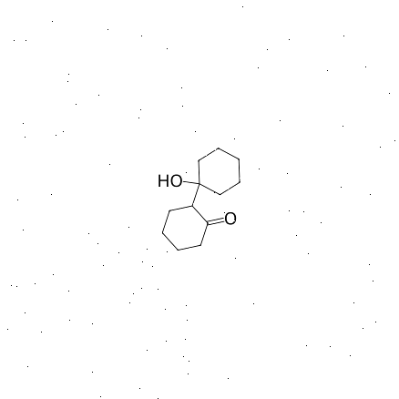 O=C1CCCCC1C1(O)CCCCC1